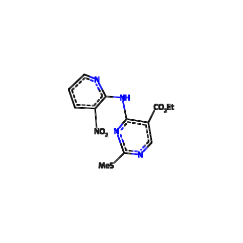 CCOC(=O)c1cnc(SC)nc1Nc1ncccc1[N+](=O)[O-]